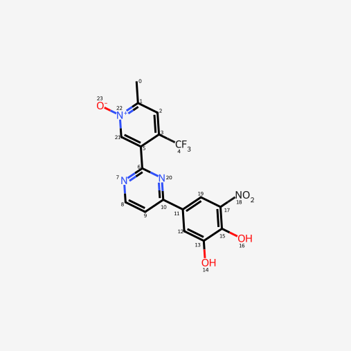 Cc1cc(C(F)(F)F)c(-c2nccc(-c3cc(O)c(O)c([N+](=O)[O-])c3)n2)c[n+]1[O-]